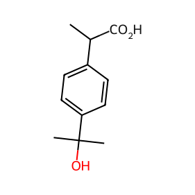 CC(C(=O)O)c1ccc(C(C)(C)O)cc1